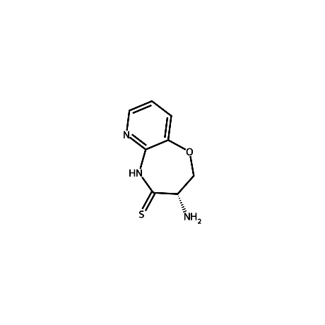 N[C@H]1COc2cccnc2NC1=S